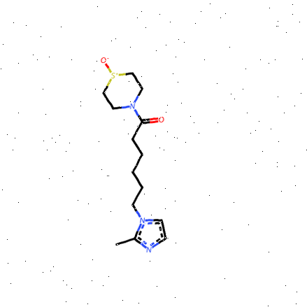 Cc1n[c]cn1CCCCCC(=O)N1CC[S+]([O-])CC1